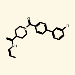 C=C(N/C=C\C)C1CCN(C(=O)c2ccc(-c3cccc(Cl)c3)cc2)CC1